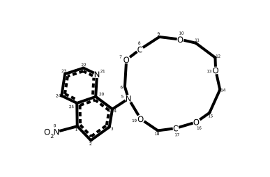 O=[N+]([O-])c1ccc(N2COCCOCCOCCOCCO2)c2ncccc12